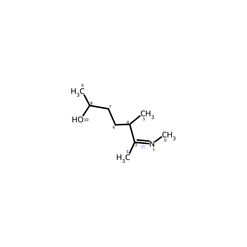 C/N=C(/C)C(C)CCC(C)O